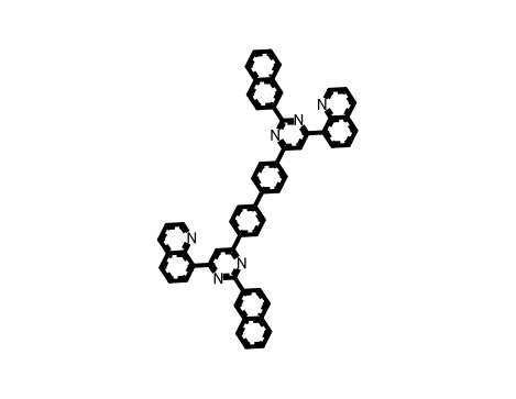 c1ccc2cc(-c3nc(-c4ccc(-c5ccc(-c6cc(-c7cccc8cccnc78)nc(-c7ccc8ccccc8c7)n6)cc5)cc4)cc(-c4cccc5cccnc45)n3)ccc2c1